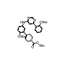 COc1ccc(Nc2cc(-c3ccccc3OC)ncn2)cc1C1=CCN(C(=O)OC(C)(C)C)CC1